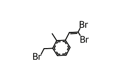 Cc1c(C=C(Br)Br)cccc1CBr